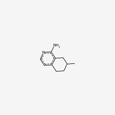 CC1CCc2ccnc(N)c2C1